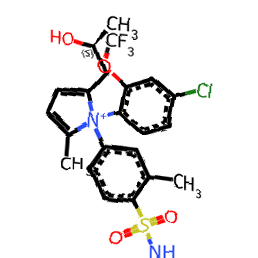 CC1=CC=C(C[C@H](C)O)[N+]1(c1ccc(S(N)(=O)=O)c(C)c1)c1ccc(Cl)cc1OC(F)(F)F